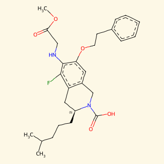 COC(=O)CNc1c(OCCc2ccccc2)cc2c(c1F)C[C@H](CCCC(C)C)N(C(=O)O)C2